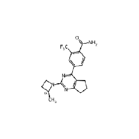 C[C@H]1CCN1c1nc2c(c(-c3ccc(C(N)=O)c(C(F)(F)F)c3)n1)CCC2